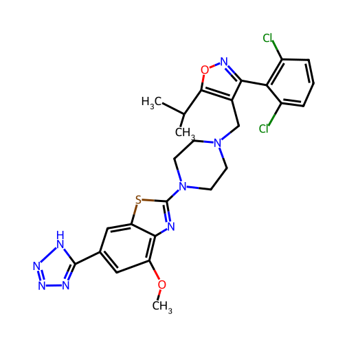 COc1cc(-c2nnn[nH]2)cc2sc(N3CCN(Cc4c(-c5c(Cl)cccc5Cl)noc4C(C)C)CC3)nc12